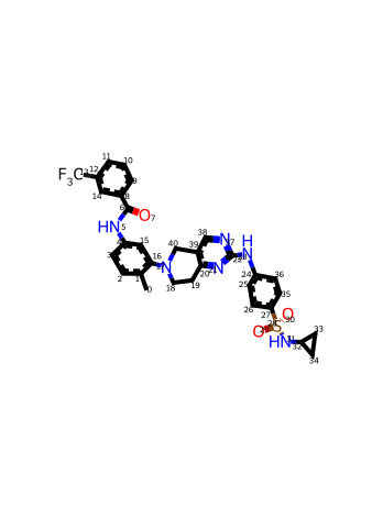 Cc1ccc(NC(=O)c2cccc(C(F)(F)F)c2)cc1N1CCc2nc(Nc3ccc(S(=O)(=O)NC4CC4)cc3)ncc2C1